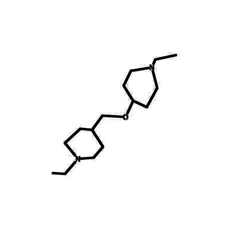 CCN1CCC(COC2CCN(CC)CC2)CC1